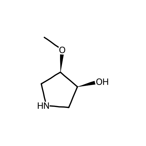 CO[C@@H]1CNC[C@@H]1O